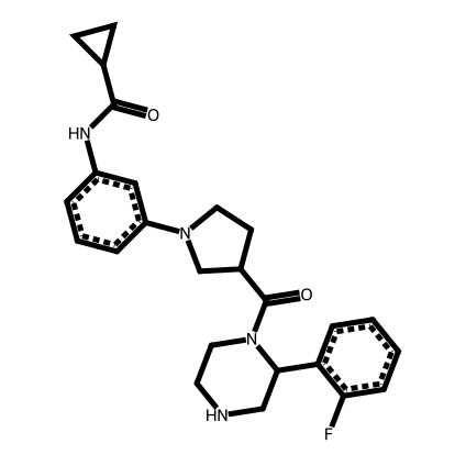 O=C(Nc1cccc(N2CCC(C(=O)N3CCNCC3c3ccccc3F)C2)c1)C1CC1